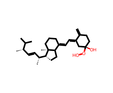 C=C1CC[C@](O)(OO)CC1=CC=C1CCC[C@@]2(C)C1CC[C@@H]2[C@H](C)/C=C/[C@H](C)C(C)C